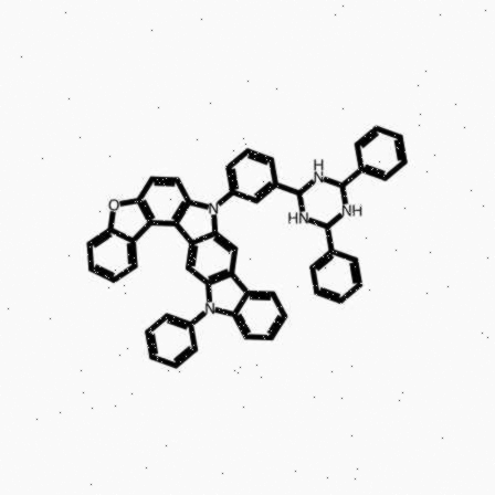 c1ccc(C2NC(c3ccccc3)NC(c3cccc(-n4c5cc6c7ccccc7n(-c7ccccc7)c6cc5c5c6c(ccc54)oc4ccccc46)c3)N2)cc1